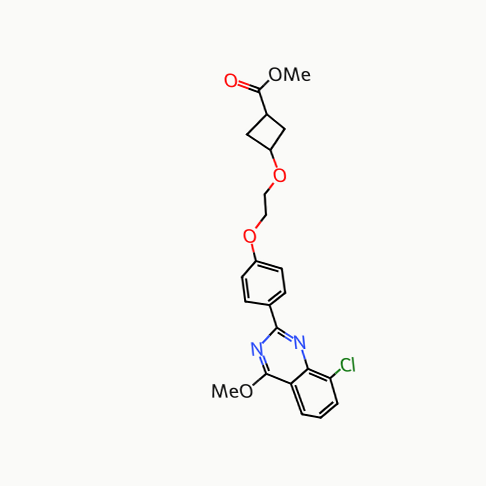 COC(=O)C1CC(OCCOc2ccc(-c3nc(OC)c4cccc(Cl)c4n3)cc2)C1